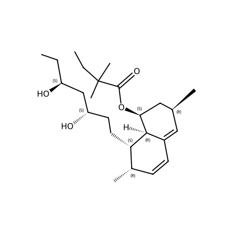 CC[C@H](O)C[C@@H](O)CC[C@@H]1[C@@H]2C(=C[C@H](C)C[C@@H]2OC(=O)C(C)(C)CC)C=C[C@@H]1C